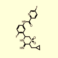 N=C1NC(c2cc(NC(=O)c3ccc(F)cn3)ccc2F)CS(=O)(=O)C1CC1CC1